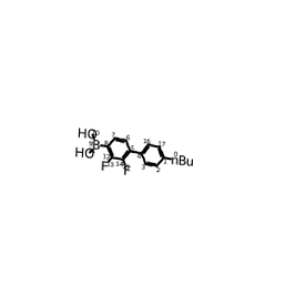 CCCCc1ccc(-c2ccc(B(O)O)c(F)c2F)cc1